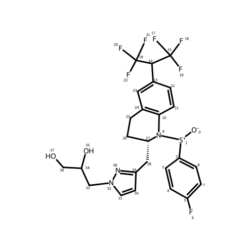 [O-][S+](c1ccc(F)cc1)N1c2ccc(C(C(F)(F)F)C(F)(F)F)cc2CC[C@H]1Cc1ccn(CC(O)CO)n1